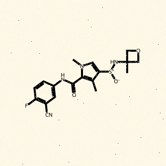 Cc1c([S+]([O-])NC2(C)COC2)cn(C)c1C(=O)Nc1ccc(F)c(C#N)c1